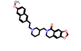 COc1ccc2cc(CCN3CCCC(CN4CCc5cc6c(cc5C4=O)OCO6)C3)ccc2c1